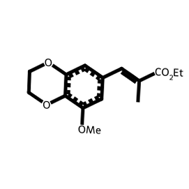 CCOC(=O)/C(C)=C/c1cc(OC)c2c(c1)OCCO2